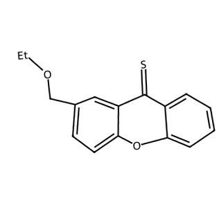 CCOCc1ccc2oc3ccccc3c(=S)c2c1